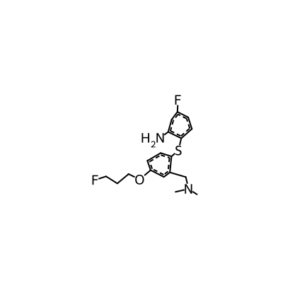 CN(C)Cc1cc(OCCCF)ccc1Sc1ccc(F)cc1N